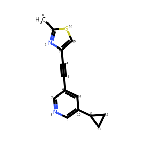 Cc1nc(C#Cc2cncc(C3CC3)c2)cs1